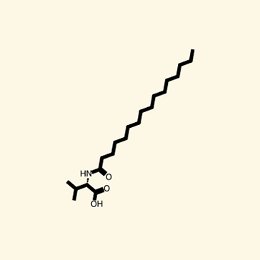 CCCCCCCCCCCCCCCC(=O)N[C@H](C(=O)O)C(C)C